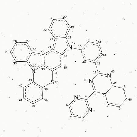 C1=CC2C(c3ncccn3)=NC(c3cccc(-n4c5ccccc5c5c6c7ccccc7n7c6c(cc54)Sc4ccccc4-7)c3)=NC2CC1